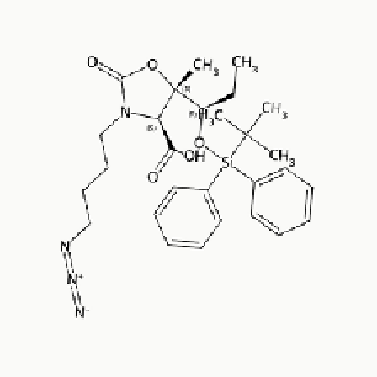 CC[C@@H](O[Si](c1ccccc1)(c1ccccc1)C(C)(C)C)[C@@]1(C)OC(=O)N(CCCCN=[N+]=[N-])[C@@H]1C(=O)O